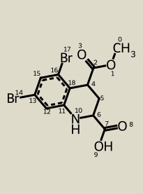 COC(=O)C1CC(C(=O)O)Nc2cc(Br)cc(Br)c21